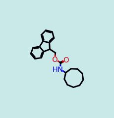 O=C(NC1CCCCCCCC1)OCC1c2ccccc2-c2ccccc21